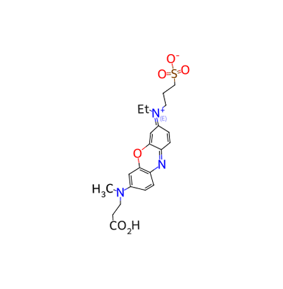 CC/[N+](CCCS(=O)(=O)[O-])=c1/ccc2nc3ccc(N(C)CCC(=O)O)cc3oc-2c1